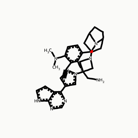 CN(C)c1ccc(CN2C3CCC2CC(N2CC(CN)(n4cc(-c5ncnc6[nH]ccc56)cn4)C2)C3)c(F)c1C#N